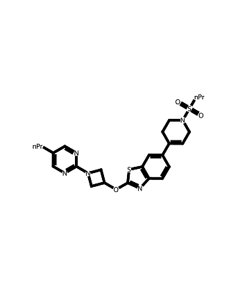 CCCc1cnc(N2CC(Oc3nc4ccc(C5=CCN(S(=O)(=O)CCC)CC5)cc4s3)C2)nc1